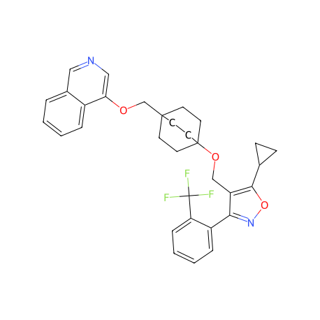 FC(F)(F)c1ccccc1-c1noc(C2CC2)c1COC12CCC(COc3cncc4ccccc34)(CC1)CC2